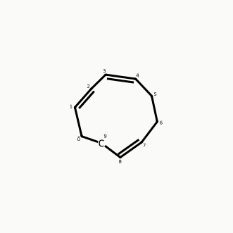 [CH]1C=CC=CCCC=CC1